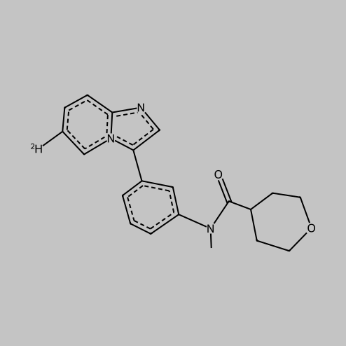 [2H]c1ccc2ncc(-c3cccc(N(C)C(=O)C4CCOCC4)c3)n2c1